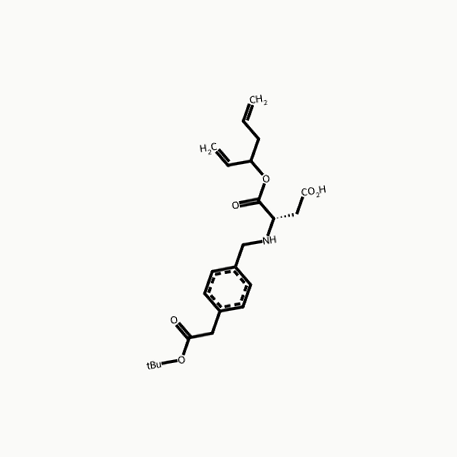 C=CCC(C=C)OC(=O)[C@H](CC(=O)O)NCc1ccc(CC(=O)OC(C)(C)C)cc1